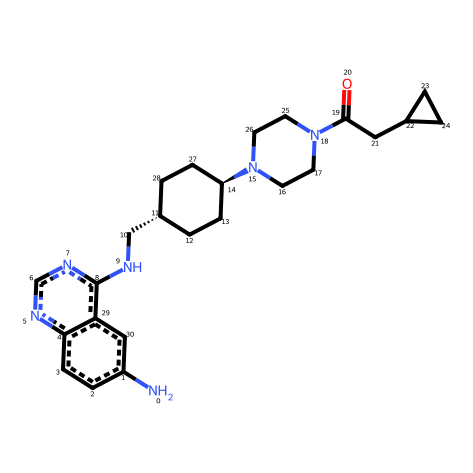 Nc1ccc2ncnc(NC[C@H]3CC[C@H](N4CCN(C(=O)CC5CC5)CC4)CC3)c2c1